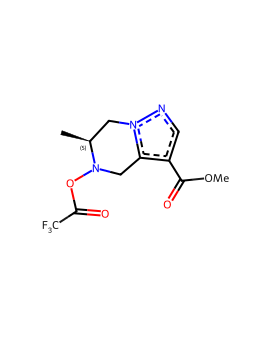 COC(=O)c1cnn2c1CN(OC(=O)C(F)(F)F)[C@@H](C)C2